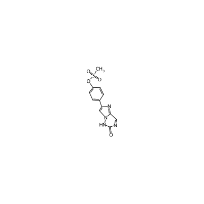 CS(=O)(=O)Oc1ccc(-c2cn3[nH]c(=O)ncc3n2)cc1